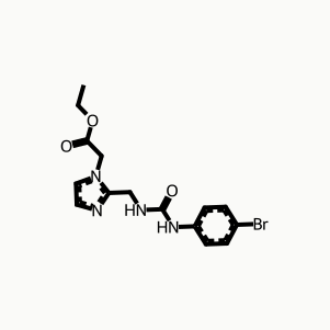 CCOC(=O)Cn1ccnc1CNC(=O)Nc1ccc(Br)cc1